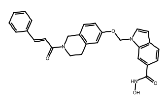 O=C(NO)c1ccc2ccn(COc3ccc4c(c3)CCN(C(=O)C=Cc3ccccc3)C4)c2c1